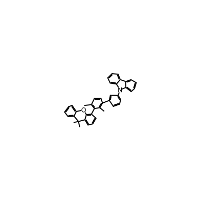 Cc1ccc(-c2cccc(-n3c4ccccc4c4ccccc43)c2)c(C)c1-c1cccc2c1Oc1ccccc1C2(C)C